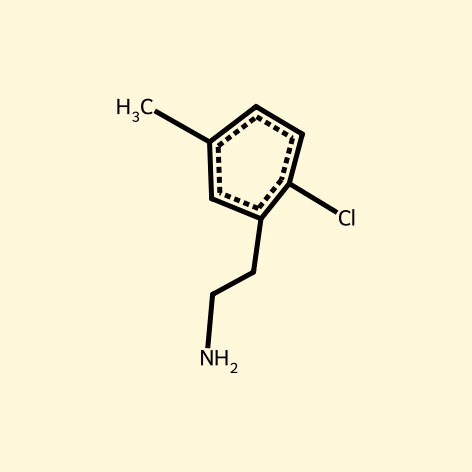 Cc1ccc(Cl)c(CCN)c1